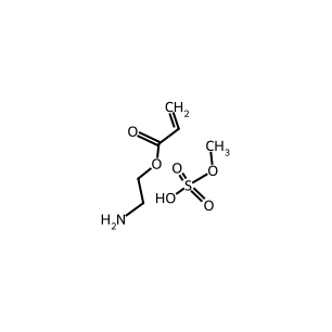 C=CC(=O)OCCN.COS(=O)(=O)O